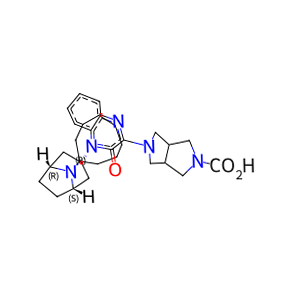 O=C(O)N1CC2CN(c3nc4ccccc4n([C@H]4C[C@H]5CC[C@@H](C4)N5C4CCCCCCC4)c3=O)CC2C1